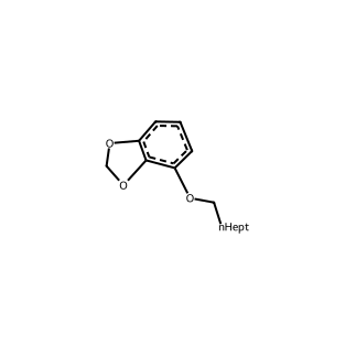 CCCCCCCCOc1cccc2c1OCO2